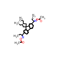 CCCCC1(CCCC)c2cc(/C(CC)=N/OC(C)=O)ccc2-c2ccc(/C(CC)=N/OC(C)=O)cc21